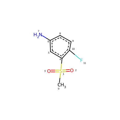 CS(=O)(=O)c1cc(N)ccc1F